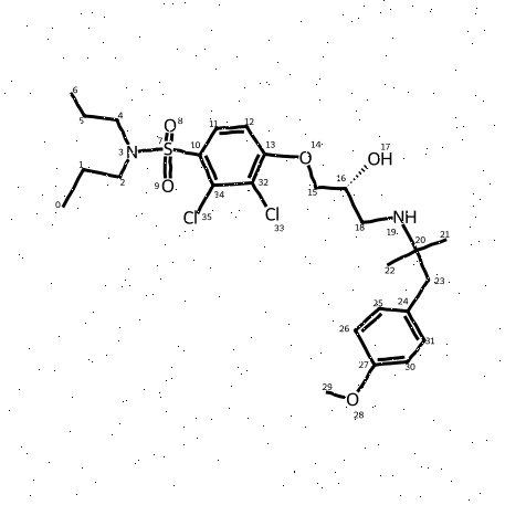 CCCN(CCC)S(=O)(=O)c1ccc(OC[C@H](O)CNC(C)(C)Cc2ccc(OC)cc2)c(Cl)c1Cl